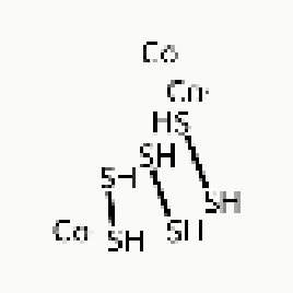 SS.SS.SS.[Co].[Co].[Co]